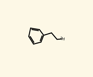 [2H]CCc1ccccc1